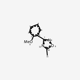 COc1ccccc1-c1noc(C)n1